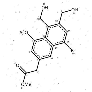 COC(=O)Cc1cc(OC(C)=O)c2c(CO)c(CO)cc(Br)c2c1